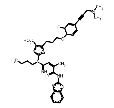 C/C(=C/C(=N)N(CCCP)c1nc(C(=O)O)c(CCCOC2C=CC(C#CCN(C)C)=CC2F)s1)C(=N)Nc1nc2ccccc2s1